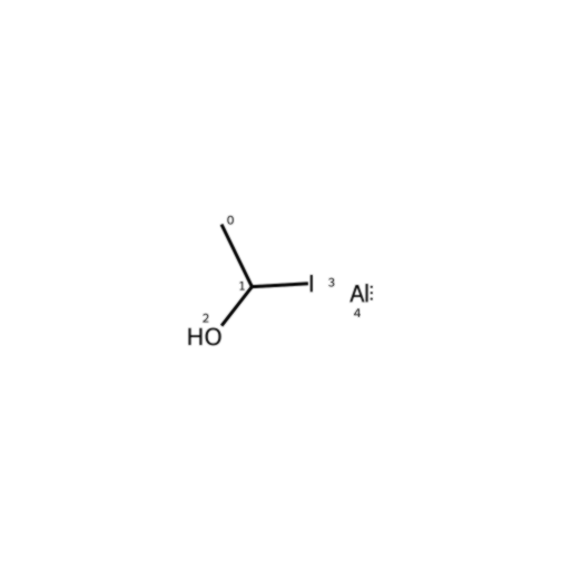 CC(O)I.[Al]